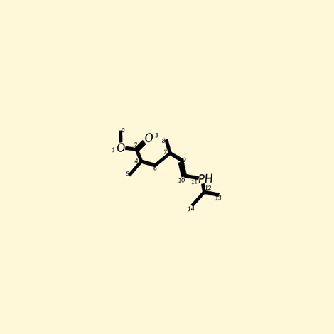 COC(=O)C(C)CC(C)/C=C/PC(C)C